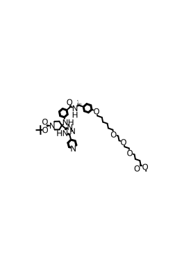 COC(=O)CCCOCCOCCOCCCCCCOc1ccc([C@@H](C)NC(=O)c2cccc(NC3(c4nnc(-c5ccncc5)[nH]4)CCN(C(=O)OC(C)(C)C)CC3)c2)cc1